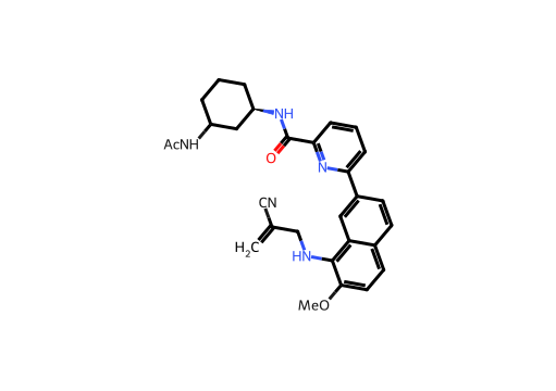 C=C(C#N)CNc1c(OC)ccc2ccc(-c3cccc(C(=O)N[C@@H]4CCCC(NC(C)=O)C4)n3)cc12